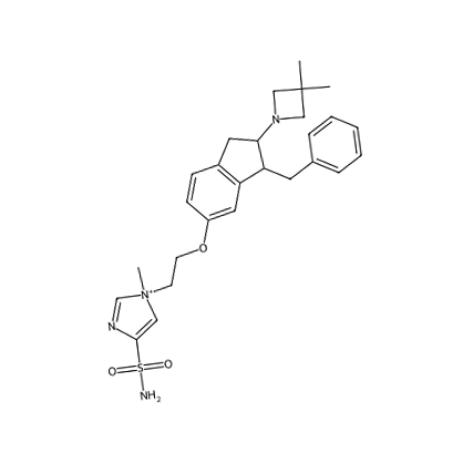 CC1(C)CN(C2Cc3ccc(OCC[N+]4(C)C=NC(S(N)(=O)=O)=C4)cc3C2Cc2ccccc2)C1